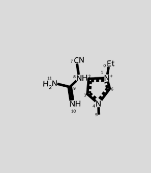 CC[n+]1ccn(C)c1.N#CNC(=N)N